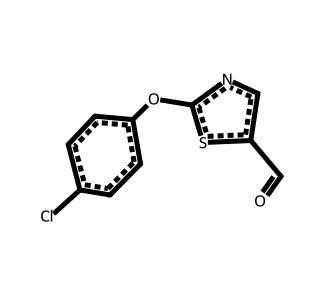 O=Cc1cnc(Oc2ccc(Cl)cc2)s1